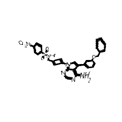 Nc1ncnc2c1c(-c1cccc(OCc3ccccc3)c1)cn2C1CC(CNS(=O)(=O)c2ccc([N+](=O)[O-])cc2)C1